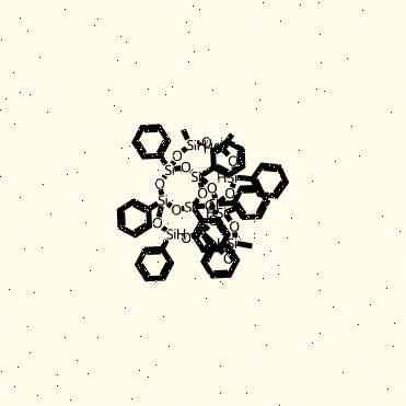 C[SiH]1O[SiH](C)O[Si]2(c3ccccc3)O[Si]3(c4ccccc4)O[SiH](c4ccccc4)O[Si]4(c5ccccc5)O[SiH](C)O[SiH](C)O[Si](c5ccccc5)(O3)O[Si](c3ccccc3)(O2)O[Si](c2ccccc2)(O[SiH](c2ccccc2)O1)O4